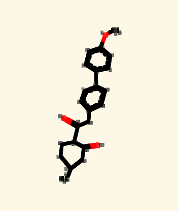 COc1ccc(-c2ccc(CC(=O)C3CCC(C)CC3=O)cc2)cc1